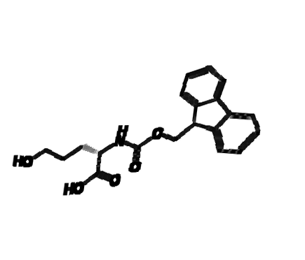 O=C(N[C@@H](CCCO)C(=O)O)OCC1c2ccccc2-c2ccccc21